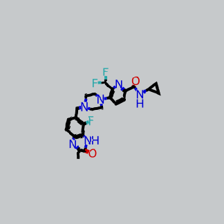 Cc1nc2ccc(CN3CCN(c4ccc(C(=O)NC5CC5)nc4C(F)F)CC3)c(F)c2[nH]c1=O